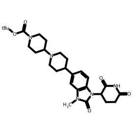 Cn1c(=O)n(C2CCC(=O)NC2=O)c2ccc(C3CCN(C4CCN(C(=O)OC(C)(C)C)CC4)CC3)cc21